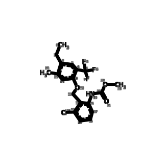 CCc1cc(C(F)(F)F)c(OCc2c(Cl)cccc2NC(=O)OC)cc1C